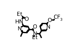 CCC(=O)Nc1cc(C(=O)N(CC)C(C)c2ccc(OCC(F)(F)F)nc2)cc(C)n1